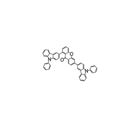 O=c1c2ccc(-c3ccc4c(c3)c3ccccc3n4-c3ccccc3)cc2oc2cccc(-c3ccc4c(c3)c3ccccc3n4-c3ccccc3)c12